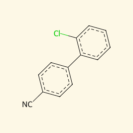 N#Cc1ccc(-c2ccccc2Cl)cc1